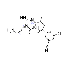 C=C(/N=C\C=C/N)N/C(=N\C=N)C(C)NC(=O)c1cc(Cl)cc(C#N)c1